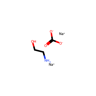 NCCO.O=C([O-])[O-].[Na+].[Na+]